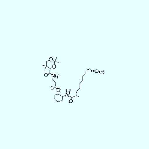 CCCCCCCC/C=C\CCCCCCC(C)C(=O)NC1CCCCC1OC(=O)CCNC(=O)C1OC(C)(C)OCC1(C)C